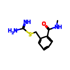 CNC(=O)c1ccccc1CSC(=N)N